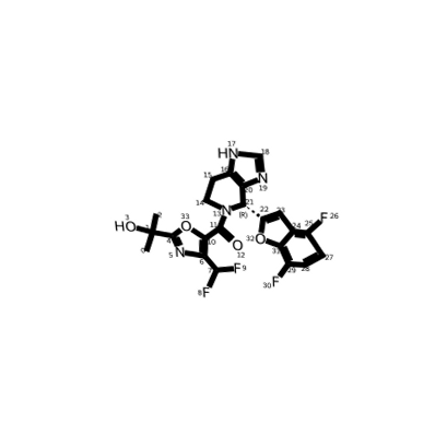 CC(C)(O)c1nc(C(F)F)c(C(=O)N2CCc3[nH]cnc3[C@@H]2c2cc3c(F)ccc(F)c3o2)o1